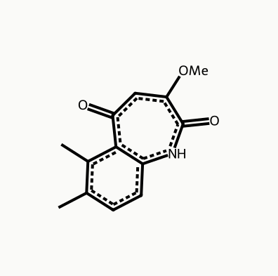 COc1cc(=O)c2c(C)c(C)ccc2[nH]c1=O